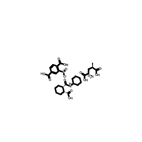 C[C@H](C[C@H](N)C(=O)O)C(=O)O.O=C(NC1CCCCC1)[C@H]1CCCC[C@H]1C(=O)O.O=C(O)c1ccc(C(=O)O)c([N+](=O)[O-])c1